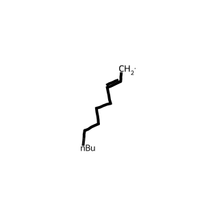 [CH2]C=CCCCCCCCC